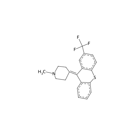 CN1CCC(=C2c3ccccc3Sc3ccc(C(F)(F)F)cc32)CC1